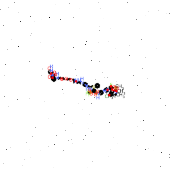 Cc1c(S(C)(=O)=O)c(-c2cc(F)cc(N3CCN(c4ccc(NS(=O)(=O)c5ccc(N[C@H](CCN6CCC(NCCCn7cc(COCCOCCOCCNc8cccc9c8C(=O)N(C8CCC(=O)NC8=O)C9=O)[nH]7)CC6)CSc6ccccc6)c(S(=O)(=O)C(F)(F)F)c5)cc4)CC3)c2)c(-c2ccc(Cl)cc2)n1C(C)C